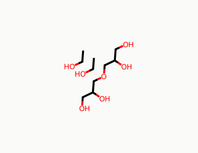 CCO.CCO.OCC(O)COCC(O)CO